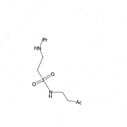 CC(=O)CCNS(=O)(=O)CCNC(C)C